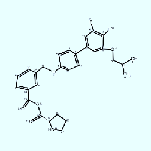 CC(O)COc1cc(-c2ccc(OCc3cccc(C(=O)OC(=O)[C@@H]4CCCN4)c3)cc2)cc(F)c1F